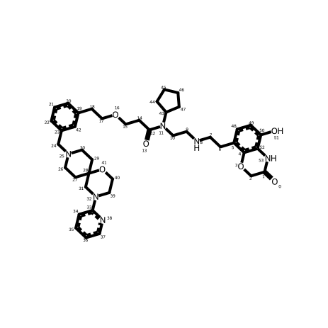 O=C1COc2c(CCNCCN(C(=O)CCOCCc3cccc(CN4CCC5(CC4)CN(c4ccccn4)CCO5)c3)C3CCCC3)ccc(O)c2N1